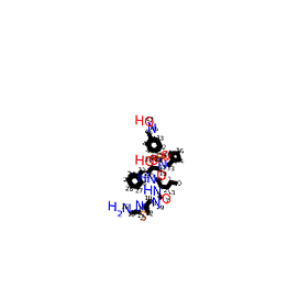 CC[C@H](C)[C@H](NC(=O)N(C)Cc1csc(CN)n1)C(=O)N[C@@H](Cc1ccccc1)[C@@H](O)CN(CC1CCC1)S(=O)(=O)c1ccc(/C=N/O)cc1